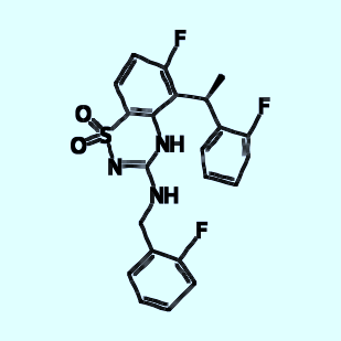 C[C@@H](c1ccccc1F)c1c(F)ccc2c1NC(NCc1ccccc1F)=NS2(=O)=O